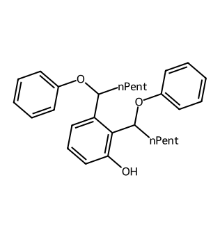 CCCCCC(Oc1ccccc1)c1cccc(O)c1C(CCCCC)Oc1ccccc1